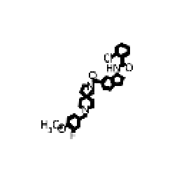 COc1ccc(CN2CCC3(CC2)CCN(C(=O)c2ccc4c(c2)C(NC(=O)c2ccccc2Cl)CC4)C3)cc1F